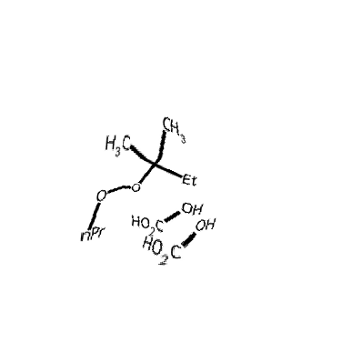 CCCOOC(C)(C)CC.O=C(O)O.O=C(O)O